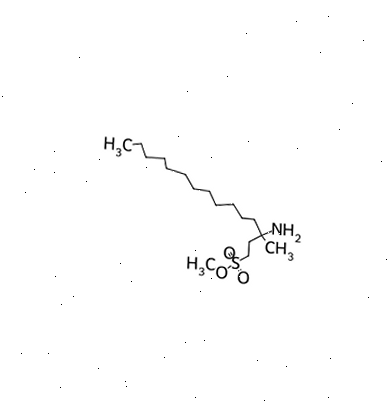 CCCCCCCCCCCCC(C)(N)CCS(=O)(=O)OC